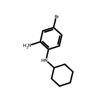 Nc1cc(Br)ccc1NC1CCCCC1